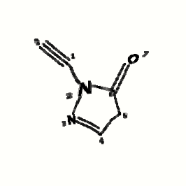 C#CN1N=CCC1=O